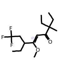 CCC(CC(F)(F)F)/C(=C/C(=O)C(C)(CC)CC)OC